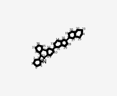 c1ccc2c(c1)N=C1c3ccc(-c4ccc5cc(-c6ccc7ccccc7c6)ccc5c4)cc3-c3ccccc3C12